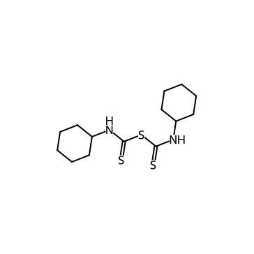 S=C(NC1CCCCC1)SC(=S)NC1CCCCC1